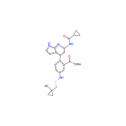 COC(=O)c1cc(NSCC2(C#N)CC2)ccc1-c1cc(NC(=O)C2CC2)nc2[nH]ccc12